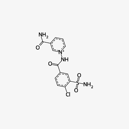 NC(=O)c1ccc[n+](NC(=O)c2ccc(Cl)c(S(N)(=O)=O)c2)c1